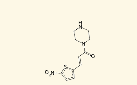 O=C(C=Cc1ccc([N+](=O)[O-])s1)N1CCNCC1